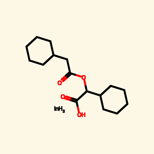 O=C(CC1CCCCC1)OC(C(=O)O)C1CCCCC1.[InH3]